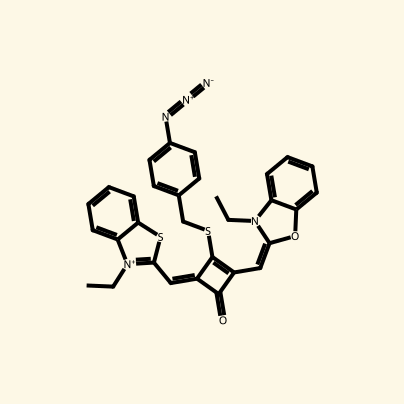 CCN1/C(=C\C2=C(SCc3ccc(N=[N+]=[N-])cc3)C(=C\c3sc4ccccc4[n+]3CC)/C2=O)Oc2ccccc21